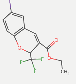 CCOC(=O)C1=Cc2cc(I)ccc2OC1C(F)(F)F